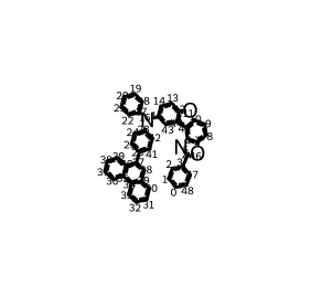 c1ccc(-c2nc3c(ccc4oc5ccc(N(c6ccccc6)c6ccc(-c7cc8ccccc8c8ccccc78)cc6)cc5c43)o2)cc1